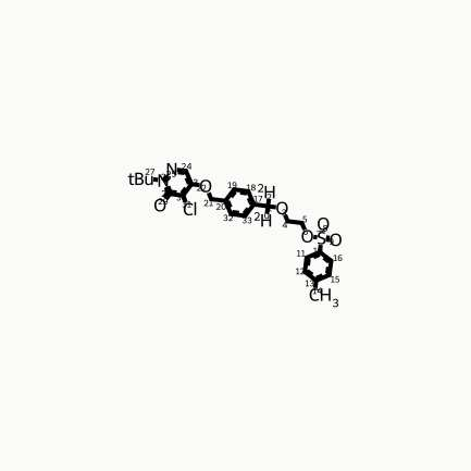 [2H]C([2H])(OCCOS(=O)(=O)c1ccc(C)cc1)c1ccc(COc2cnn(C(C)(C)C)c(=O)c2Cl)cc1